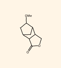 COC1[CH]C2CC1C1COC(=O)C21